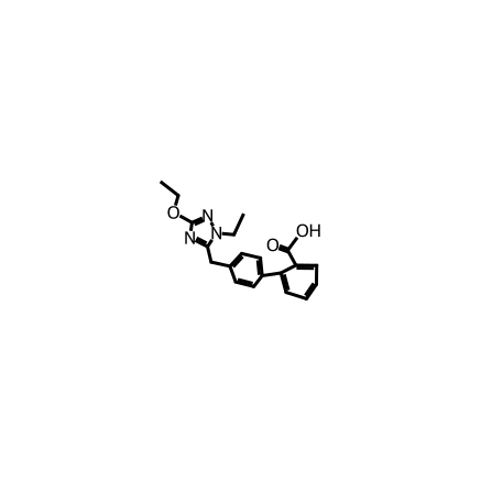 CCOc1nc(Cc2ccc(-c3ccccc3C(=O)O)cc2)n(CC)n1